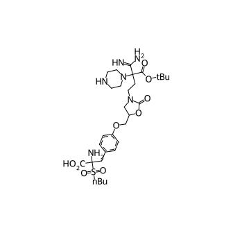 CCCCS(=O)(=O)C(N)(Cc1ccc(OCC2CN(CCC(C(=N)N)(C(=O)OC(C)(C)C)N3CCNCC3)C(=O)O2)cc1)C(=O)O